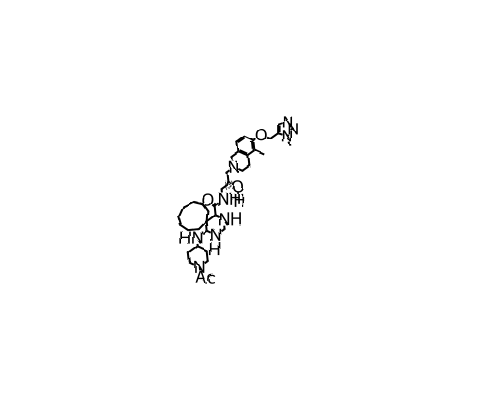 CC(=O)N1CCC(NC2NCNC(C(=O)NC[C@H](O)CN3CCc4c(ccc(OCc5cnnn5C)c4C)C3)C23CCCCCCCC3)CC1